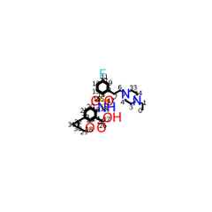 CCN1CCN(CCc2cc(F)ccc2S(=O)(=O)Nc2ccc3c(c2C(=O)O)OCC2CC32)CC1